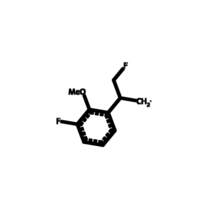 [CH2]C(CF)c1cccc(F)c1OC